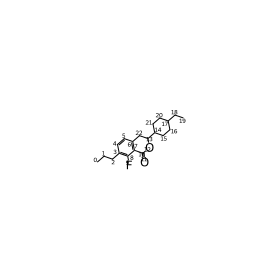 CCCc1ccc2c(c1F)C(=O)OC(C1CCC(CC)CC1)C2